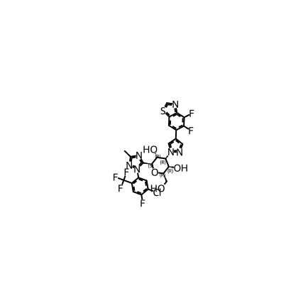 Cc1nc([C@@H]2O[C@H](CO)[C@H](O)[C@H](n3cc(-c4cc5scnc5c(F)c4F)cn3)[C@H]2O)n(-c2cc(Cl)c(F)cc2C(F)(F)F)n1